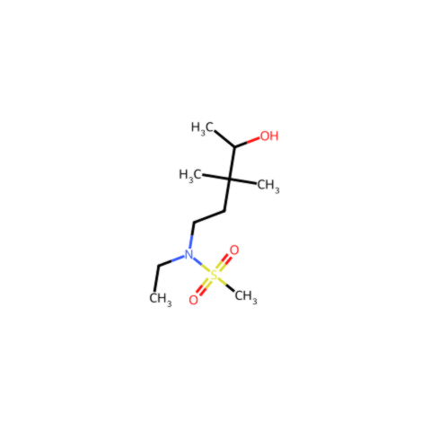 CCN(CCC(C)(C)C(C)O)S(C)(=O)=O